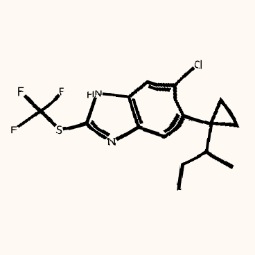 CCC(C)C1(c2cc3nc(SC(F)(F)F)[nH]c3cc2Cl)CC1